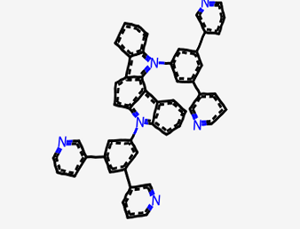 c1cncc(-c2cc(-c3cccnc3)cc(-n3c4ccccc4c4c3ccc3c5ccccc5n(-c5cc(-c6cccnc6)cc(-c6cccnc6)c5)c34)c2)c1